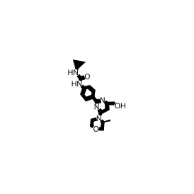 C[C@H]1COCCN1c1cc(CO)nc(-c2ccc(NC(=O)NC3CC3)cc2)n1